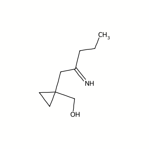 CCCC(=N)CC1(CO)CC1